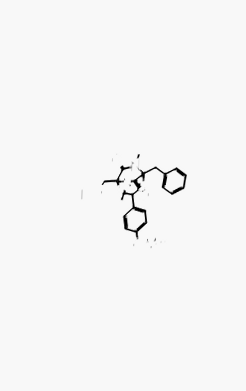 COc1ccc(C2SC3(CO)C(=O)N(C)C(Cc4ccccc4)(S2)C(=O)N3C)cc1